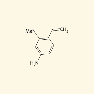 C=Cc1ccc(N)cc1NC